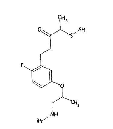 CC(C)NCC(C)Oc1ccc(F)c(CCC(=O)C(C)SS)c1